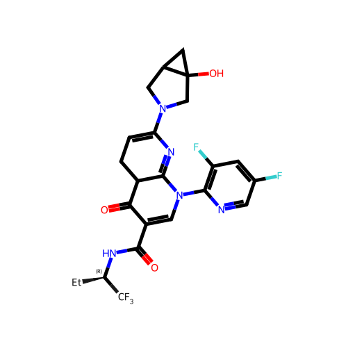 CC[C@@H](NC(=O)C1=CN(c2ncc(F)cc2F)C2=NC(N3CC4CC4(O)C3)=CCC2C1=O)C(F)(F)F